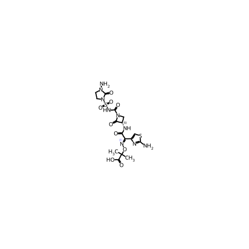 CC(C)(O/N=C(/C(=O)N[C@H]1CN(C(=O)NS(=O)(=O)N2CCN(N)C2=O)C1=O)c1csc(N)n1)C(=O)O